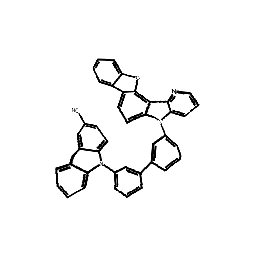 N#Cc1ccc2c(c1)c1ccccc1n2-c1cccc(-c2cccc(-n3c4cccnc4c4c5oc6ccccc6c5ccc43)c2)c1